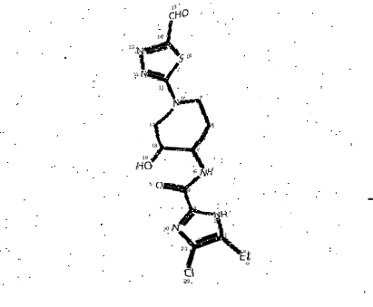 CCc1[nH]c(C(=O)NC2CCN(c3nnc(C=O)s3)CC2O)nc1Cl